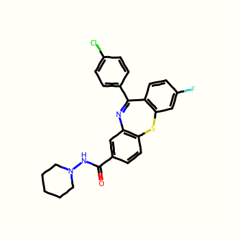 O=C(NN1CCCCC1)c1ccc2c(c1)N=C(c1ccc(Cl)cc1)c1ccc(F)cc1S2